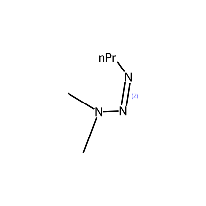 CCC/N=N\N(C)C